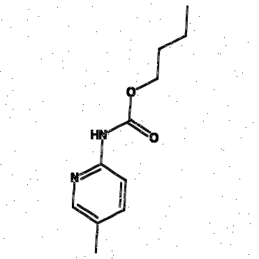 CCCCOC(=O)Nc1ccc(C)cn1